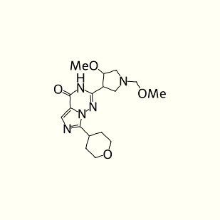 COCN1CC(OC)C(c2nn3c(C4CCOCC4)ncc3c(=O)[nH]2)C1